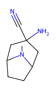 CN1C2CCC1CC(N)(C#N)C2